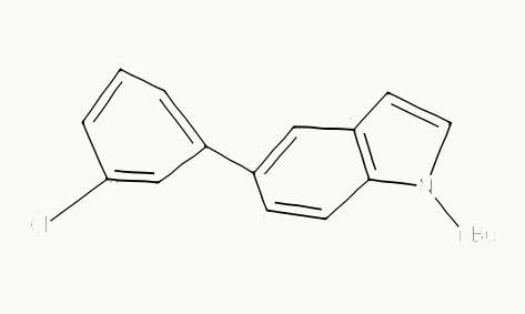 CCCCn1ccc2cc(-c3cccc(Cl)c3)ccc21